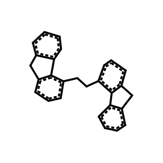 c1ccc2c(c1)Cc1cccc(CCc3cccc4c3-c3ccccc3C4)c1-2